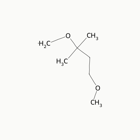 [CH2]OC(C)(C)CCOC